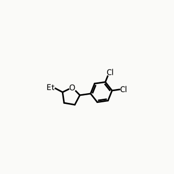 CCC1CCC(c2ccc(Cl)c(Cl)c2)O1